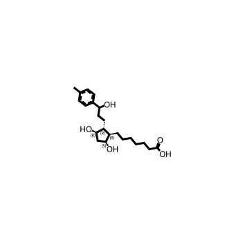 Cc1ccc(C(O)CC[C@@H]2[C@@H](CCCCCCC(=O)O)[C@@H](O)C[C@H]2O)cc1